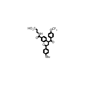 CC(C)(C)c1ccc(C(=O)CC(C(=O)c2ccc(OC(F)(F)F)cc2)c2ccc(C(=O)NCCC(=O)O)cc2)cc1